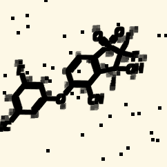 C[C@]1(O)c2c(ccc(Oc3cc(F)cc(C#N)c3)c2C#N)S(=O)(=O)C1(F)F